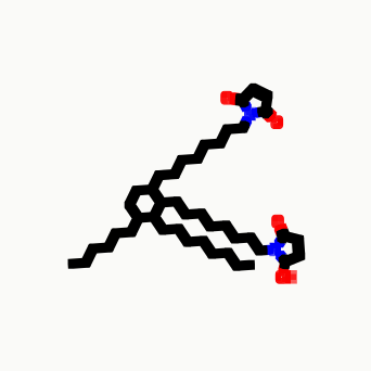 CCCCCCCCC1C(CCCCCC)CCC(CCCCCCCCN2C(=O)C=CC2=O)C1CCCCCCCCN1C(=O)C=CC1O